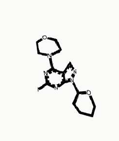 Ic1nc(N2CCOCC2)c2cnn(C3CCCCO3)c2n1